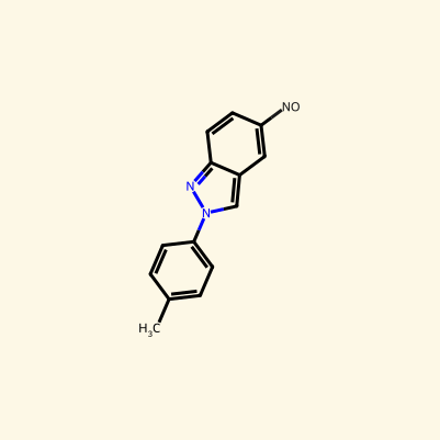 Cc1ccc(-n2cc3cc(N=O)ccc3n2)cc1